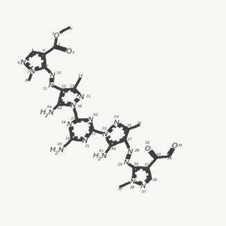 COC(=O)c1cnn(C)c1/N=N/c1c(C)nn(-c2nc(N)nc(-n3nc(C)c(/N=N/c4c(C(=O)C=O)cnn4C)c3N)n2)c1N